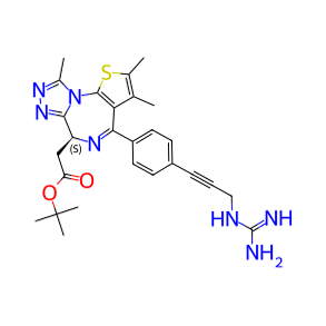 Cc1sc2c(c1C)C(c1ccc(C#CCNC(=N)N)cc1)=N[C@@H](CC(=O)OC(C)(C)C)c1nnc(C)n1-2